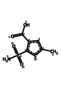 Cc1cc(C(=O)O)c(S(N)(=O)=O)s1